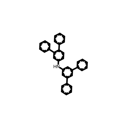 c1ccc(-c2cc(Nc3ccc(-c4ccccc4)c(-c4ccccc4)c3)cc(-c3ccccc3)c2)cc1